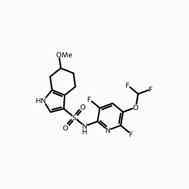 COC1CCc2c(S(=O)(=O)Nc3nc(F)c(OC(F)F)cc3F)c[nH]c2C1